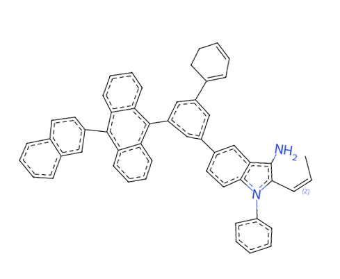 C/C=C\c1c(N)c2cc(-c3cc(C4=CC=CCC4)cc(-c4c5ccccc5c(-c5ccc6ccccc6c5)c5ccccc45)c3)ccc2n1-c1ccccc1